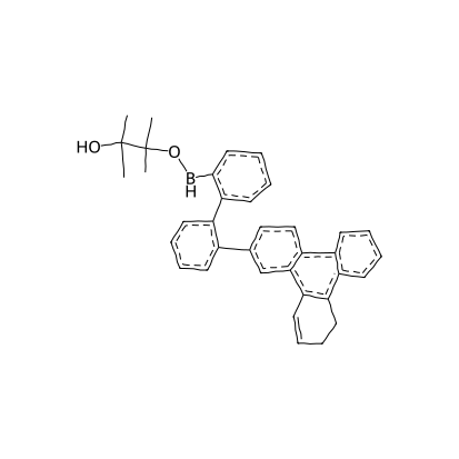 CC(C)(O)C(C)(C)OBc1ccccc1-c1ccccc1-c1ccc2c(c1)c1c(c3ccccc32)CCC=C1